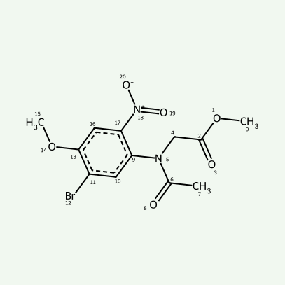 COC(=O)CN(C(C)=O)c1cc(Br)c(OC)cc1[N+](=O)[O-]